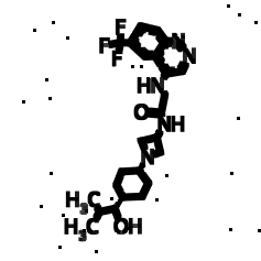 CC(C)C(O)[C@H]1CC[C@@H](N2CC(NC(=O)CNc3cnnc4ccc(C(F)(F)F)cc34)C2)CC1